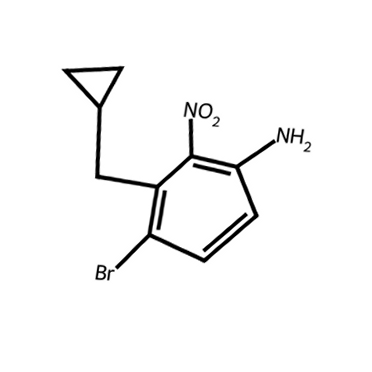 Nc1ccc(Br)c(CC2CC2)c1[N+](=O)[O-]